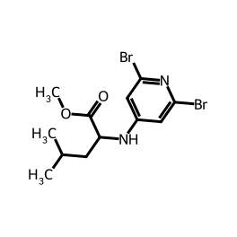 COC(=O)C(CC(C)C)Nc1cc(Br)nc(Br)c1